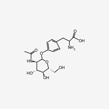 CC(=O)N[C@H]1C(Oc2ccc(CC(N)C(=O)O)cc2)O[C@H](CO)[C@@H](O)[C@@H]1O